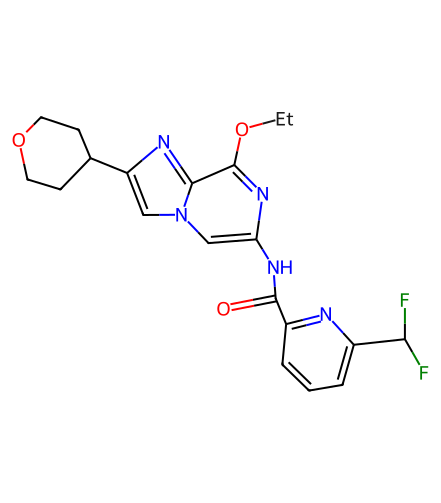 CCOc1nc(NC(=O)c2cccc(C(F)F)n2)cn2cc(C3CCOCC3)nc12